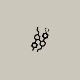 CCCC1CCC(c2ccc(C)cc2)C(C2CC(CCC)CCC2c2ccc(OC)cc2)C1